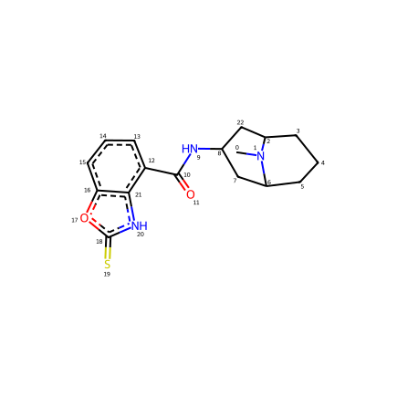 CN1C2CCCC1CC(NC(=O)c1cccc3oc(=S)[nH]c13)C2